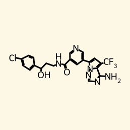 Nc1ncnn2c(-c3cncc(C(=O)NCCC(O)c4ccc(Cl)cc4)c3)cc(C(F)(F)F)c12